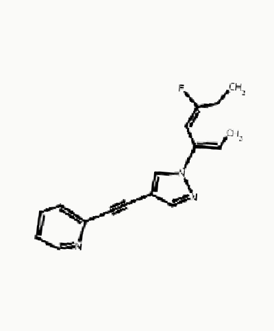 C/C=C(\C=C(\F)CC)n1cc(C#Cc2ccccn2)cn1